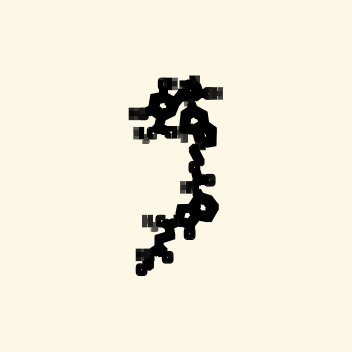 CC(C)c1cc(-c2nnc(O)n2-c2ccc3c(ccn3CCOC(=O)Nc3cccc4c3CN(C(C)CCC(=O)NC=O)C4=O)c2)c(O)cc1O